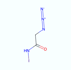 [N-]=[N+]=NCC(=O)NI